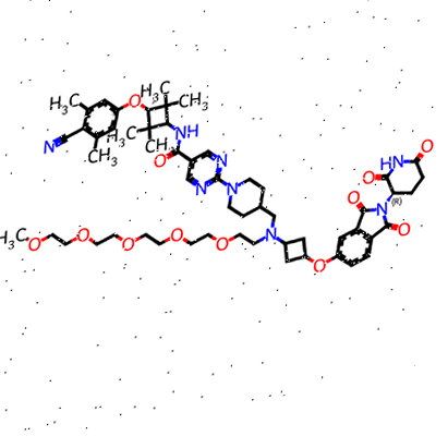 COCCOCCOCCOCCOCCN(CC1CCN(c2ncc(C(=O)NC3C(C)(C)C(Oc4cc(C)c(C#N)c(C)c4)C3(C)C)cn2)CC1)C1CC(Oc2ccc3c(c2)C(=O)N([C@@H]2CCC(=O)NC2=O)C3=O)C1